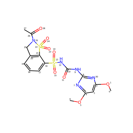 COc1cc(OC)nc(NC(=O)NS(=O)(=O)c2cccc3c2S(=O)(=O)N(C(C)=O)C3)n1